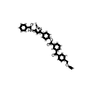 C#COCc1ccc(C(=O)c2cccc(C(=O)Oc3ccc(-c4cc(NC(=O)c5ccccc5)n(C)n4)cc3)c2)cc1